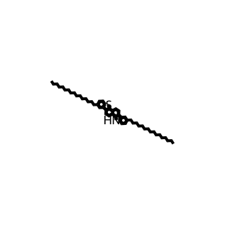 CCCCCCCCCCCCCCCCc1ccc2[nH]c3c(ccc4c3ccc3c5cc(CCCCCCCCCCCCCCCC)ccc5sc34)c2c1